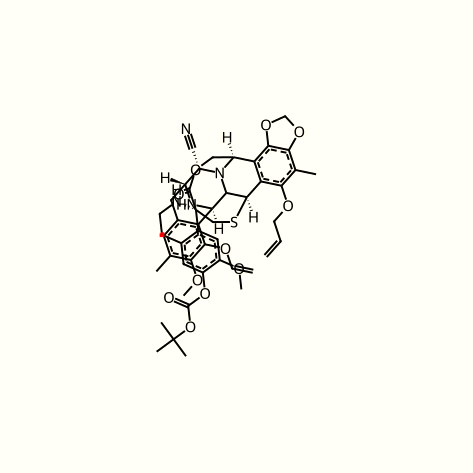 C=CCOc1c(C)c2c(c3c1[C@H]1SC[C@]4(NCCc5cc(OC(=O)OC(C)(C)C)c(OC)cc54)C(=O)OC[C@@H]3N3C1[C@@H]1N[C@H](Cc4cc(C)c(OC)c(OC=C)c41)[C@@H]3C#N)OCO2